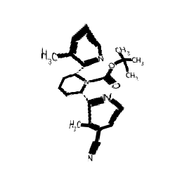 Cc1cccnc1[C@H]1CCC[C@@H](c2nccc(C#N)c2C)N1C(=O)OC(C)(C)C